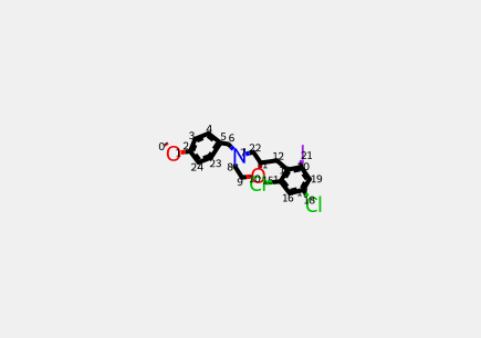 COc1ccc(CN2CCOC(Cc3c(Cl)cc(Cl)cc3I)C2)cc1